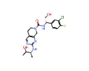 CC(O)[C@H](C)Nc1ncc2c(n1)CN(C(=O)N[C@H](CO)c1ccc(F)c(Cl)c1)CC2